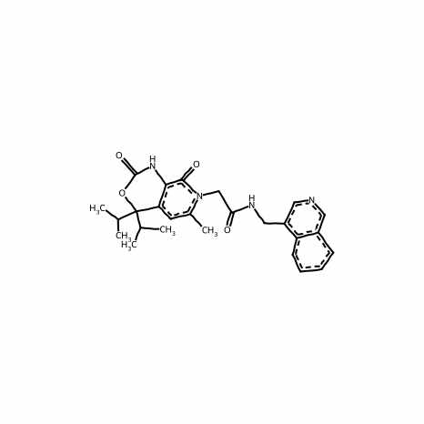 Cc1cc2c(c(=O)n1CC(=O)NCc1cncc3ccccc13)NC(=O)OC2(C(C)C)C(C)C